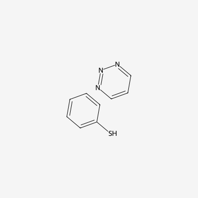 Sc1ccccc1.c1cnnnc1